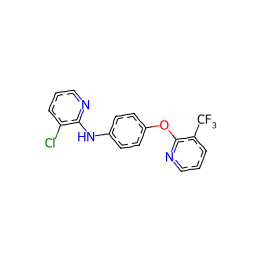 FC(F)(F)c1cccnc1Oc1ccc(Nc2ncccc2Cl)cc1